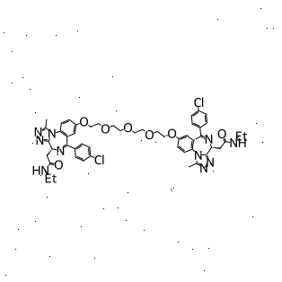 CCNC(=O)C[C@@H]1N=C(c2ccc(Cl)cc2)c2cc(OCCOCCOCCOCCOc3ccc4c(c3)C(c3ccc(Cl)cc3)=N[C@@H](CC(=O)NCC)c3nnc(C)n3-4)ccc2-n2c(C)nnc21